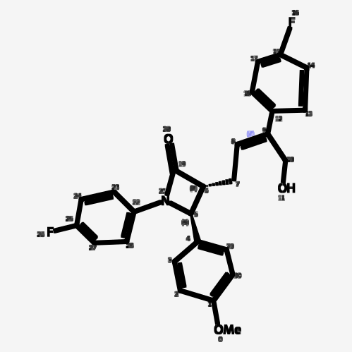 COc1ccc([C@@H]2[C@@H](C/C=C(\CO)c3ccc(F)cc3)C(=O)N2c2ccc(F)cc2)cc1